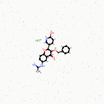 CC(=N)Nc1ccc2oc(-c3ccc(O)nc3)c(OCc3ccccc3)c(=O)c2c1.Cl